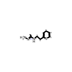 C/C(=N\N)NCCC1=CCC=CS1